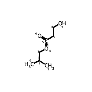 CC(C)CO[PH](=O)CCO